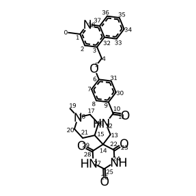 Cc1cc(COc2ccc(C(=O)NCC3(C4CCN(C)CC4)C(=O)NC(=O)NC3=O)cc2)c2ccccc2n1